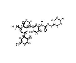 CN1CCN(CCC(=O)Nc2cc(N3CCOc4c3cc(-c3cc(Cl)ccc3F)nc4N)ccn2)CC1